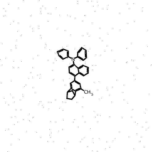 Cc1cc(-c2ccc(N(c3ccccc3)c3ccccc3)c3ccccc23)cc2c1C1CCC2C1